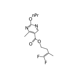 CCCOc1ncc(C(=O)OCCC(C)=C(F)F)c(C)n1